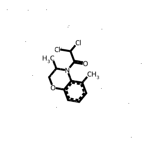 Cc1cccc2c1N(C(=O)C(Cl)Cl)C(C)CO2